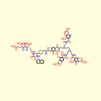 Cc1cc(C(=O)NCCN(CCCN(CCNC(=O)c2cc(C)n(CC(=O)O)c(=O)c2O)CCNC(=O)c2cc(C)n(CC(=O)NCC3CCC(C(=O)N[C@@H](Cc4ccc5ccccc5n4)C(=O)NCCCC[C@H](NC(=O)N[C@@H](CCC(=O)O)C(=O)O)C(=O)O)CC3)c(=O)c2O)CCNC(=O)c2cc(C)n(CC(=O)O)c(=O)c2O)c(O)c(=O)n1CC(=O)O